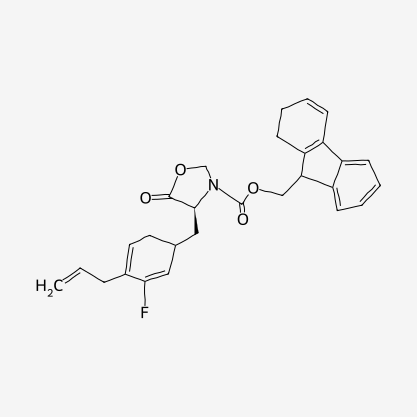 C=CCC1=CCC(C[C@H]2C(=O)OCN2C(=O)OCC2C3=C(C=CCC3)c3ccccc32)C=C1F